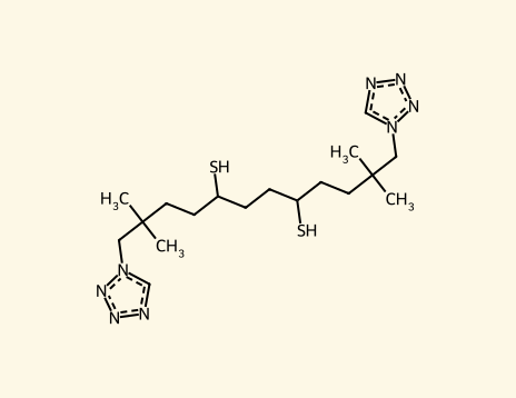 CC(C)(CCC(S)CCC(S)CCC(C)(C)Cn1cnnn1)Cn1cnnn1